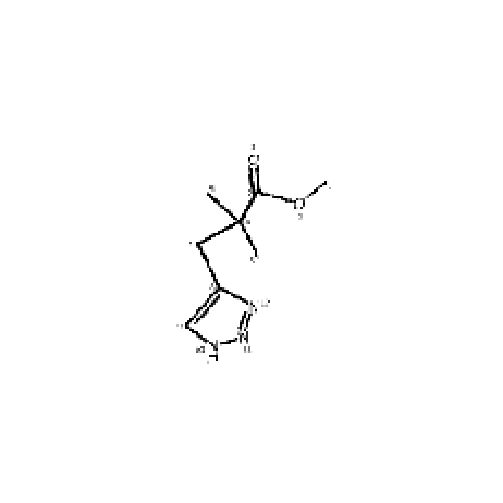 COC(=O)C(C)(C)Cc1c[nH]nn1